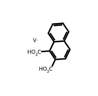 O=C(O)c1ccc2ccccc2c1C(=O)O.[V]